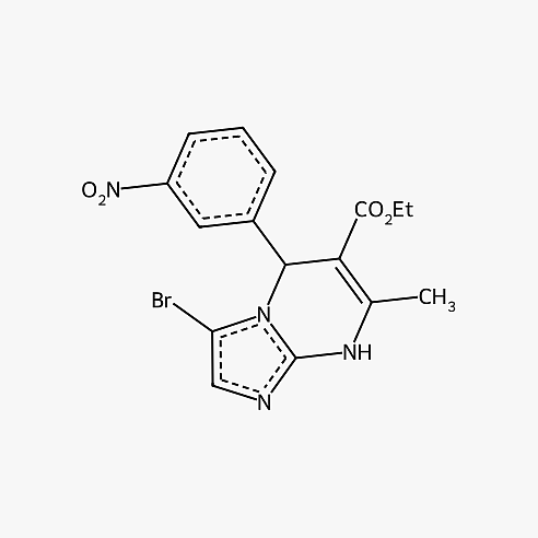 CCOC(=O)C1=C(C)Nc2ncc(Br)n2C1c1cccc([N+](=O)[O-])c1